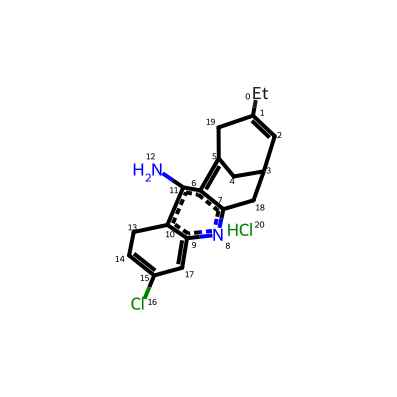 CCC1=CC2CC(=c3c(nc4c(c3N)CC=C(Cl)C=4)C2)C1.Cl